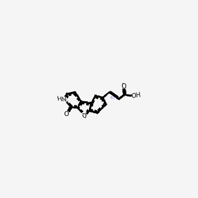 O=C(O)/C=C/c1ccc2oc3c(=O)[nH]ccc3c2c1